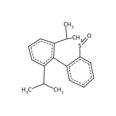 CC(C)c1cccc(C(C)C)c1-c1ccccc1[S+]=O